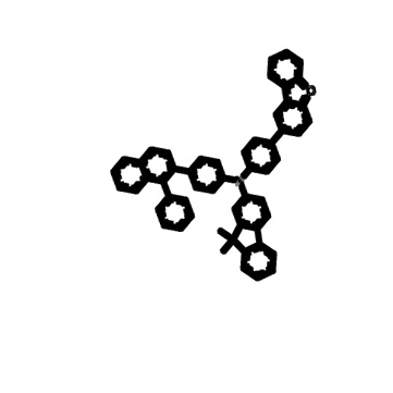 CC1(C)c2ccccc2-c2ccc(N(c3ccc(-c4ccc5oc6ccccc6c5c4)cc3)c3ccc(-c4ccc5ccccc5c4-c4ccccc4)cc3)cc21